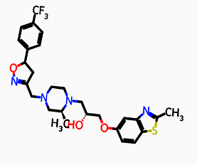 Cc1nc2cc(OC[C@H](O)CN3CCN(CC4=NOC(c5ccc(C(F)(F)F)cc5)C4)C[C@@H]3C)ccc2s1